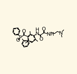 Cc1cc(C)c(C(=O)P(=O)(c2ccccc2)c2ccccc2)c(C)c1NC(=O)C(=O)NCCCN(C)C